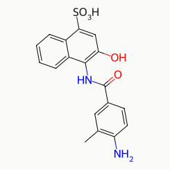 Cc1cc(C(=O)Nc2c(O)cc(S(=O)(=O)O)c3ccccc23)ccc1N